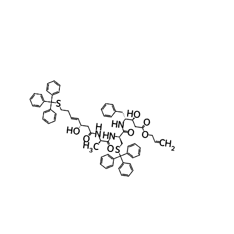 C=CCOC(=O)C[C@H](O)[C@@H](Cc1ccccc1)NC(=O)[C@@H](CSC(c1ccccc1)(c1ccccc1)c1ccccc1)NC(=O)[C@@H](C)NC(=O)C[C@H](O)C=CCCSC(c1ccccc1)(c1ccccc1)c1ccccc1